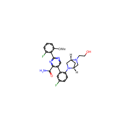 COc1cccc(F)c1-c1ncc(-c2cc(F)ccc2N2C[C@H]3C[C@@H]2CN3CCO)c(C(N)=O)n1